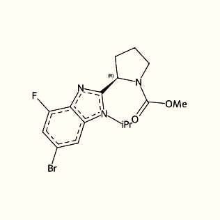 COC(=O)N1CCC[C@@H]1c1nc2c(F)cc(Br)cc2n1C(C)C